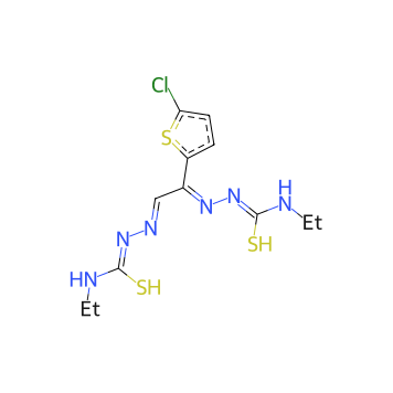 CCN/C(S)=N/N=C(/C=N/N=C(\S)NCC)c1ccc(Cl)s1